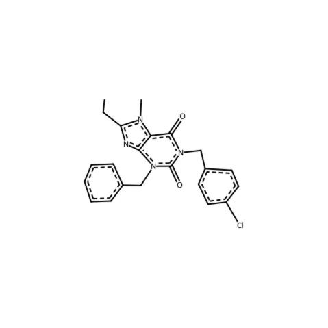 CCc1nc2c(c(=O)n(Cc3ccc(Cl)cc3)c(=O)n2Cc2ccccc2)n1C